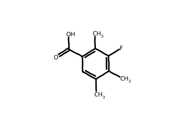 Cc1cc(C(=O)O)c(C)c(F)c1C